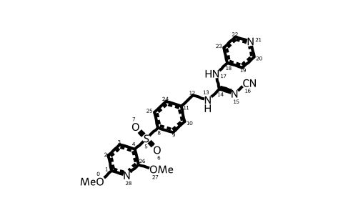 COc1ccc(S(=O)(=O)c2ccc(CNC(=NC#N)Nc3ccncc3)cc2)c(OC)n1